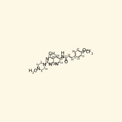 Cc1nc(N2CCN(C)CC2)nc2ncc(NC(=O)C=Cc3ccc(OC(F)(F)F)cc3)cc12